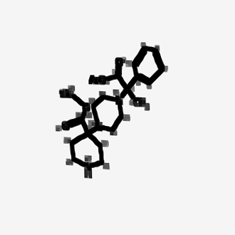 CC(=O)OC(=O)C(C)(c1ccccc1)N1CCN(C2(C(=O)OC(C)(C)C)CCNCC2)CC1